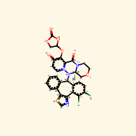 O=C1OCC(Oc2c3n(ccc2=O)N([C@@H]2c4ccccc4-c4scnc4-c4c2ccc(F)c4F)[C@@H]2COCCN2C3=O)O1